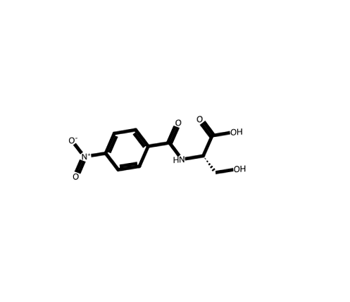 O=C(N[C@@H](CO)C(=O)O)c1ccc([N+](=O)[O-])cc1